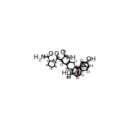 NC(=O)[C@@H]1CCCN1C(=O)c1cc2c([nH]c1=O)C[C@]13CC4C(c5ccc(O)cc51)N(CC1CC1)[C@H]4[C@]3(O)C2